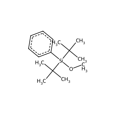 CO[Si](c1ccccc1)(C(C)(C)C)C(C)(C)C